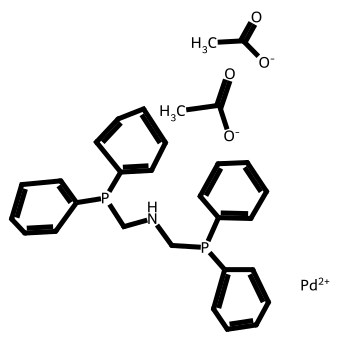 CC(=O)[O-].CC(=O)[O-].[Pd+2].c1ccc(P(CNCP(c2ccccc2)c2ccccc2)c2ccccc2)cc1